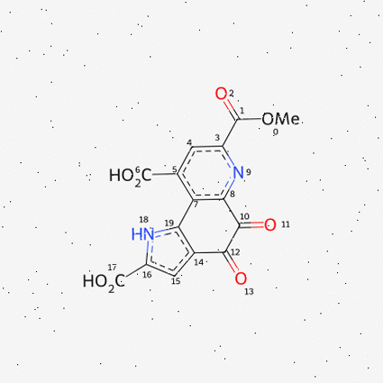 COC(=O)c1cc(C(=O)O)c2c(n1)C(=O)C(=O)c1cc(C(=O)O)[nH]c1-2